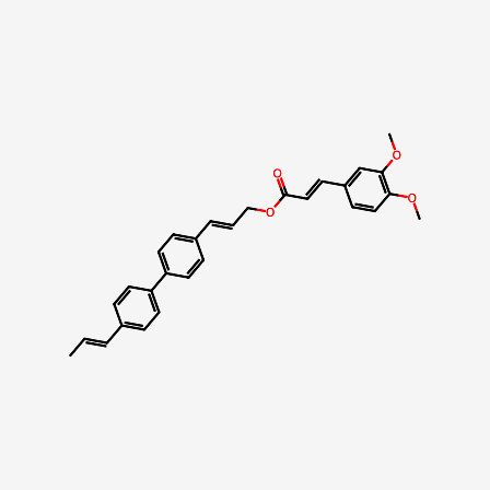 C/C=C/c1ccc(-c2ccc(/C=C/COC(=O)/C=C/c3ccc(OC)c(OC)c3)cc2)cc1